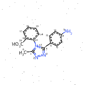 Cc1nnc(-c2ccc(N)cc2)n1-c1ccccc1C(=O)O